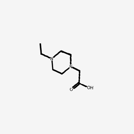 CCN1CCN(CC(=O)O)CC1